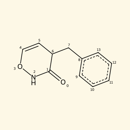 O=C1NOC=CC1Cc1ccccc1